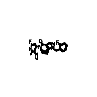 Cc1nc(F)cc(-n2ccc3c(cnn3Cc3ccccc3F)c2=O)c1Cl